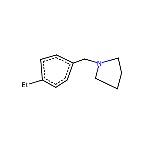 [CH2]Cc1ccc(CN2CCCC2)cc1